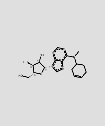 CN(c1ncnc2c1ncn2[C@@H]1O[C@H](CO)[C@@H](O)[C@H]1O)C1CC=CCC1